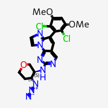 COc1cc(OC)c(Cl)c(-c2cc3cnc(N[C@@H]4COCC[C@@H]4N=[N+]=[N-])nc3n3ccnc23)c1Cl